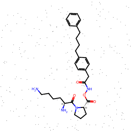 NCCCC[C@H](N)C(=O)N1CCC[C@H]1C(=O)ONC(=O)Cc1ccc(CCCCc2ccccc2)cc1